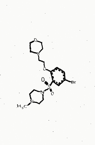 CN1CCN(S(=O)(=O)c2cc(Br)ccc2OCCN2CCOCC2)CC1